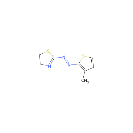 Cc1ccsc1N=NC1=NCCS1